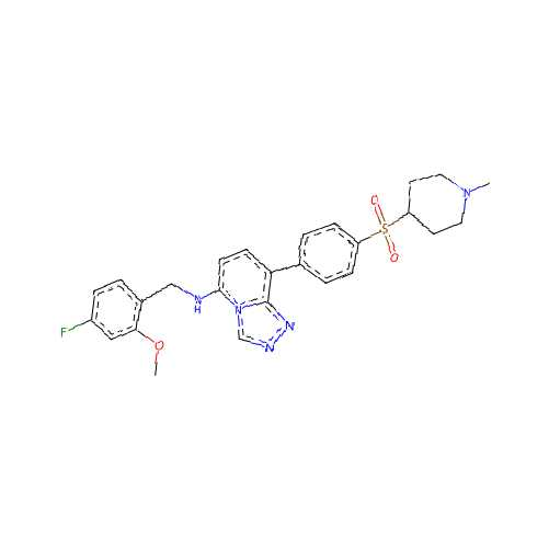 COc1cc(F)ccc1CNc1ccc(-c2ccc(S(=O)(=O)C3CCN(C)CC3)cc2)c2nncn12